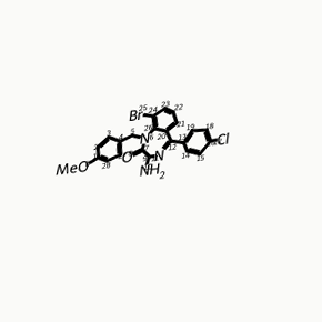 COc1ccc(CN2C(=O)C(N)N=C(c3ccc(Cl)cc3)c3cccc(Br)c32)cc1